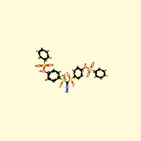 [N-]=[N+]=C(S(=O)(=O)c1ccc(OS(=O)(=O)c2ccccc2)cc1)S(=O)(=O)c1ccc(OS(=O)(=O)c2ccccc2)cc1